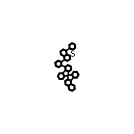 c1ccc2c(c1)Sc1ccc(-c3ccccc3-c3cccc4c3-c3ccccc3C43c4ccccc4-c4c3ccc3ccccc43)c3cccc-2c13